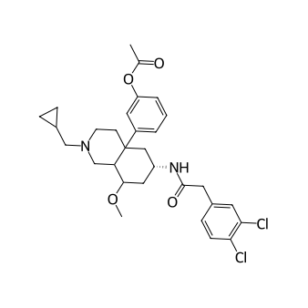 COC1C[C@@H](NC(=O)Cc2ccc(Cl)c(Cl)c2)CC2(c3cccc(OC(C)=O)c3)CCN(CC3CC3)CC12